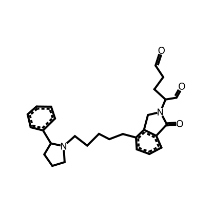 O=CCCC(C=O)N1Cc2c(CCCCCN3CCCC3c3ccccc3)cccc2C1=O